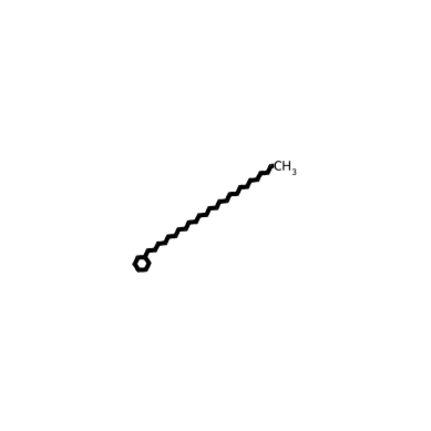 CCCCCCCCCCCCCCCCCCCCCCCCCC[C]1CCCCC1